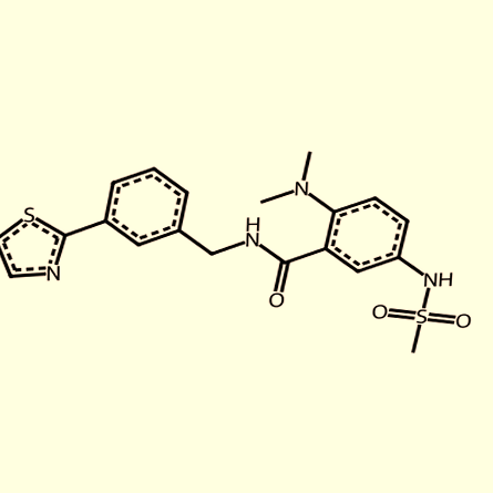 CN(C)c1ccc(NS(C)(=O)=O)cc1C(=O)NCc1cccc(-c2nccs2)c1